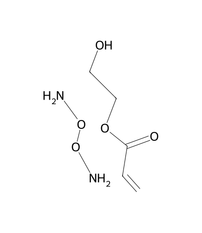 C=CC(=O)OCCO.NOON